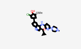 COc1cc(-c2ccc3ncc(C(=O)C4CC4)c(Nc4ccc(N5CCN(C)CC5)nc4)c3c2)cc(Cl)c1O